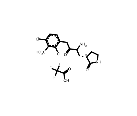 NC(C[C@@H]1CCNC1=O)C(=O)Cc1ccc(Cl)c(C(=O)O)c1Cl.O=C(O)C(F)(F)F